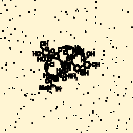 CN[C@H](CC(C)C)C(=O)N[C@H]1C(=O)N[C@@H](CC(N)=O)C(=O)N[C@H]2CN[C@H]3C(=O)N[C@H](C(=O)N[C@H](CO)c4cc(O)cc(O)c4-c4cc3ccc4O)[C@H](O)c3ccc(c(Cl)c3)Oc3cc2cc(c3O[C@@H]2OC(CO)C(O)[C@H](O)[C@H]2O)Oc2ccc(cc2Cl)[C@H]1O